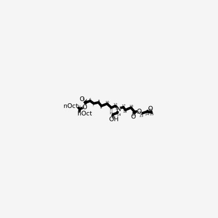 CCCCCCCCC(CCCCCCCC)OC(=O)CCCCCCCN(CCO)CCCC(=O)OCC1CO1